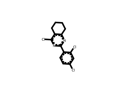 Clc1ccc(-c2nc(Cl)c3c(n2)CCCC3)c(Cl)c1